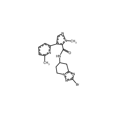 Cc1cccc(-c2cnn(C)c2C(=O)NC2CCn3nc(Br)nc3C2)n1